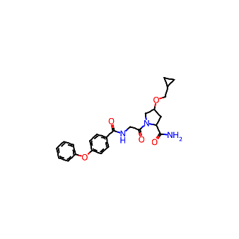 NC(=O)C1CC(OCC2CC2)CN1C(=O)CNC(=O)c1ccc(Oc2ccccc2)cc1